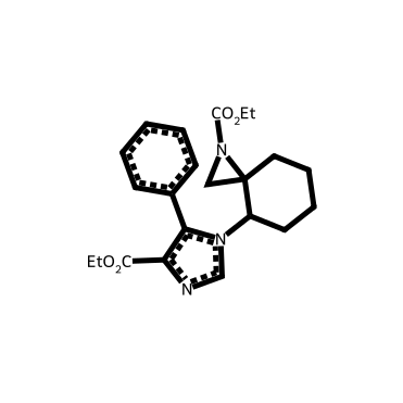 CCOC(=O)c1ncn(C2CCCCC23CN3C(=O)OCC)c1-c1ccccc1